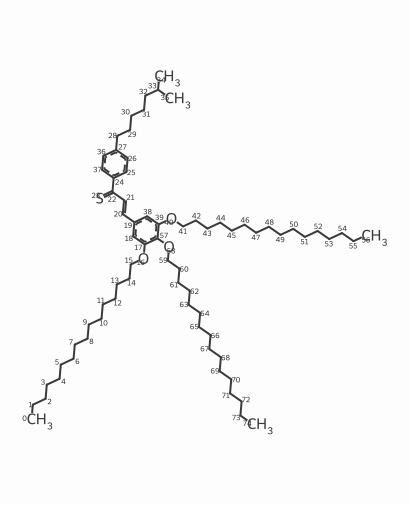 CCCCCCCCCCCCCCCCOc1cc(C=CC(=S)c2ccc(CCCCCC(C)C)cc2)cc(OCCCCCCCCCCCCCCCC)c1OCCCCCCCCCCCCCCCC